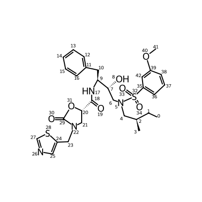 CC[C@@H](C)CN(C[C@@H](O)[C@H](Cc1ccccc1)NC(=O)[C@@H]1CN(Cc2cncs2)C(=O)O1)S(=O)(=O)c1cccc(OC)c1